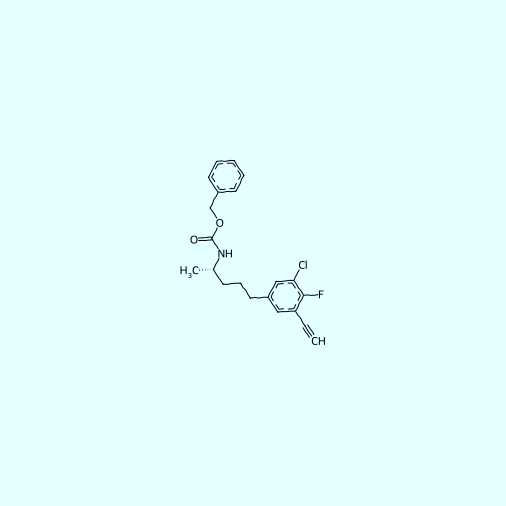 C#Cc1cc(CCC[C@H](C)NC(=O)OCc2ccccc2)cc(Cl)c1F